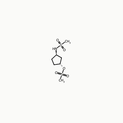 CS(=O)(=O)N[C@@H]1CC[C@@H](OS(C)(=O)=O)C1